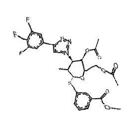 COC(=O)c1cccc(S[C@H]2OC(COC(C)=O)[C@H](OC(C)=O)[C@H](n3cc(-c4cc(F)c(F)c(F)c4)nn3)C2C)c1